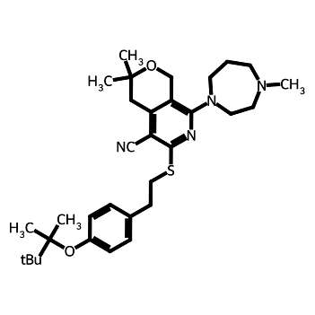 CN1CCCN(c2nc(SCCc3ccc(OC(C)(C)C(C)(C)C)cc3)c(C#N)c3c2COC(C)(C)C3)CC1